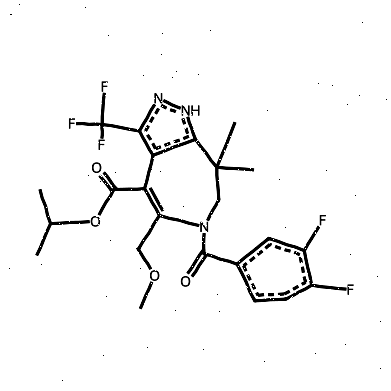 COCC1=C(C(=O)OC(C)C)c2c(C(F)(F)F)n[nH]c2C(C)(C)CN1C(=O)c1ccc(F)c(F)c1